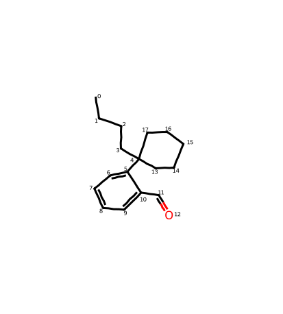 CCCCC1(c2ccccc2C=O)CCCCC1